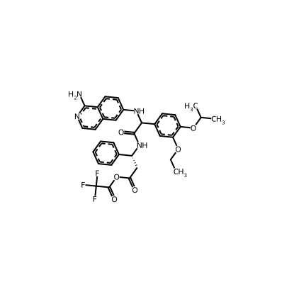 CCOc1cc(C(Nc2ccc3c(N)nccc3c2)C(=O)N[C@H](CC(=O)OC(=O)C(F)(F)F)c2ccccc2)ccc1OC(C)C